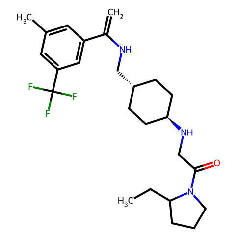 C=C(NC[C@H]1CC[C@H](NCC(=O)N2CCCC2CC)CC1)c1cc(C)cc(C(F)(F)F)c1